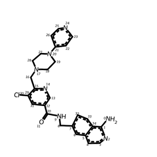 Nc1nccc2cc(CNC(=O)c3cnc(CN4CCN(c5ccncc5)CC4)c(Cl)c3)ccc12